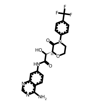 Nc1ncnc2cc(NC(=O)C(O)[C@H]3OCCN(c4ccc(C(F)(F)F)cc4)C3=O)ccc12